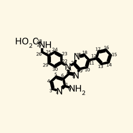 Nc1ncccc1-c1nc2cc(-c3ccccc3)cnc2n1-c1ccc(CNC(=O)O)cc1